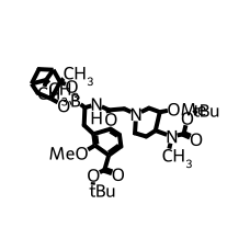 COc1c(CC(NC(=O)CN2CCC(N(C)C(=O)OC(C)(C)C)C(OC)C2)B2OC3CC4CC(C4(C)C)C3(C)O2)cccc1C(=O)OC(C)(C)C